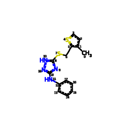 Cc1ccsc1CSc1nc(Nc2ccccc2)n[nH]1